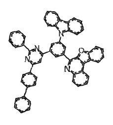 c1ccc(-c2ccc(-c3cc(-c4cc(-c5nc6ccccc6c6c5oc5ccccc56)cc(-n5c6ccccc6c6ccccc65)c4)nc(-c4ccccc4)n3)cc2)cc1